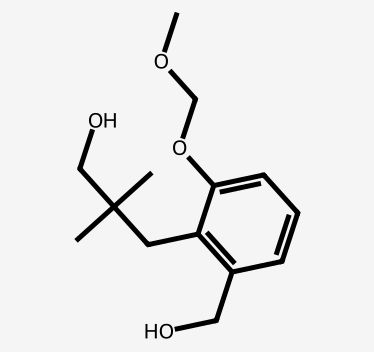 COCOc1cccc(CO)c1CC(C)(C)CO